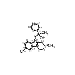 CN1CCc2c(n(CC(C)(O)c3ccncn3)c3ccc(Cl)cc23)C1